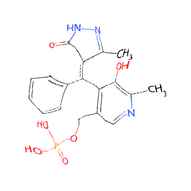 CC1=NNC(=O)C1=C(c1ccccc1)c1c(COP(=O)(O)O)cnc(C)c1O